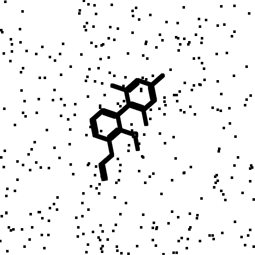 C=CCc1cccc(-c2c(C)cc(C)cc2C)c1OC